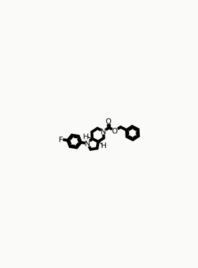 O=C(OCc1ccccc1)N1CC[C@H]2[C@H](CCN2c2ccc(F)cc2)C1